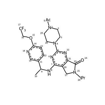 CC(=O)N1CCN(c2nc(NC(C)c3ccc(OCC(F)(F)F)nc3)c3c(n2)C(=O)N(C(C)C)C3)CC1